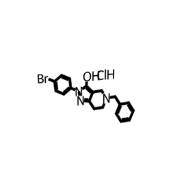 Cl.Oc1c2c(nn1-c1ccc(Br)cc1)CCN(Cc1ccccc1)C2